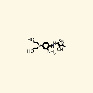 Cc1nsc(/N=N/c2ccc(N(CCO)CCO)cc2N)c1C#N